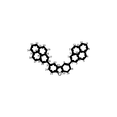 C1=C(c2cc3ccc4cccc5ccc(c2)c3c45)CCc2oc3ccc(-c4cc5ccc6cccc7ccc(c4)c5c67)cc3c21